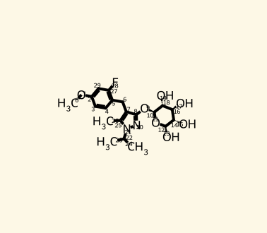 COc1ccc(Cc2c(O[C@@H]3O[C@H](O)[C@@H](O)[C@H](O)[C@H]3O)nn(C(C)C)c2C)c(F)c1